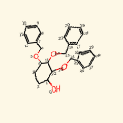 OC1CCC(OCc2ccccc2)C(OCc2ccccc2)C1OCc1ccccc1